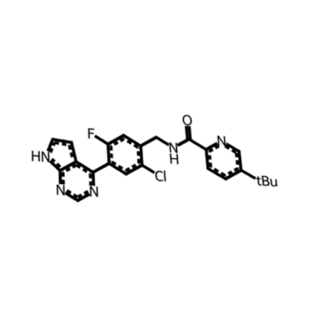 CC(C)(C)c1ccc(C(=O)NCc2cc(F)c(-c3ncnc4[nH]ccc34)cc2Cl)nc1